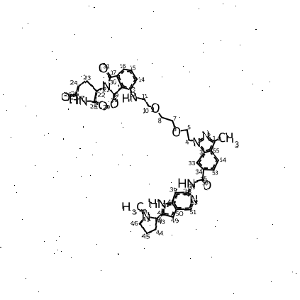 Cc1nn(CCOCCOCCNc2cccc3c2C(=O)N(C2CCC(=O)NC2=O)C3=O)c2cc(C(=O)Nc3cc4[nH]c([C@H]5CCCN5C)cc4cn3)ccc12